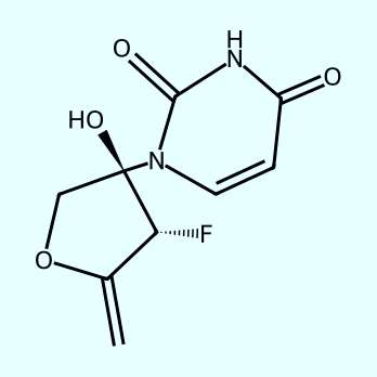 C=C1OC[C@](O)(n2ccc(=O)[nH]c2=O)[C@@H]1F